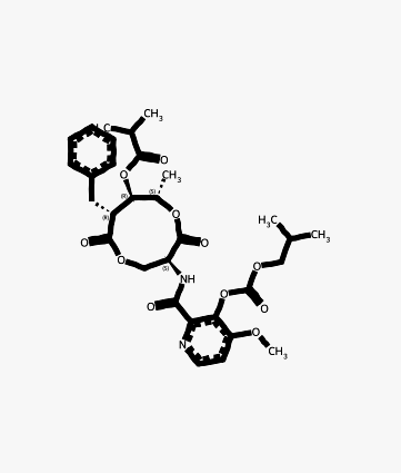 COc1ccnc(C(=O)N[C@H]2COC(=O)[C@H](Cc3ccccc3)[C@@H](OC(=O)C(C)C)[C@H](C)OC2=O)c1OC(=O)OCC(C)C